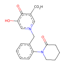 O=C(O)c1cn(Cc2ccccc2N2CCCCC2=O)cc(O)c1=O